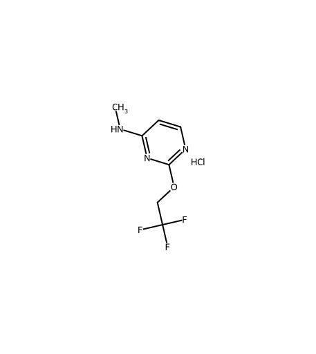 CNc1ccnc(OCC(F)(F)F)n1.Cl